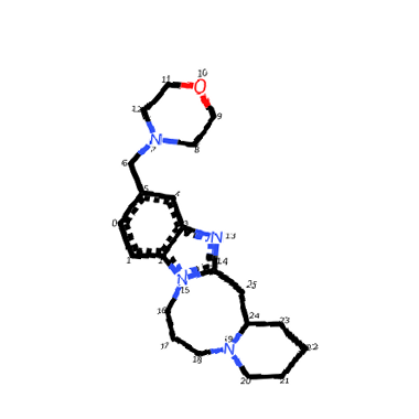 c1cc2c(cc1CN1CCOCC1)nc1n2CCCN2CCCCC2C1